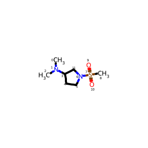 CN(C)C1CCN(S(C)(=O)=O)C1